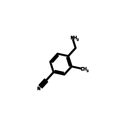 Cc1cc(C#N)ccc1CN